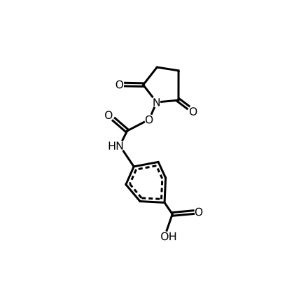 O=C(Nc1ccc(C(=O)O)cc1)ON1C(=O)CCC1=O